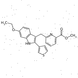 CCOc1ccc2c(Cc3cccc(C(=O)OC)n3)c(-c3ccsc3)[nH]c2c1